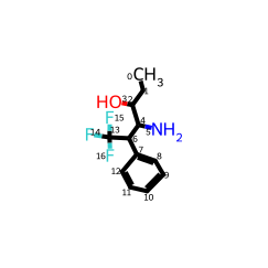 CCC(O)C(N)C(c1ccccc1)C(F)(F)F